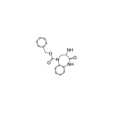 [NH]C1CN(C(=O)OCc2ccccc2)c2ccccc2NC1=O